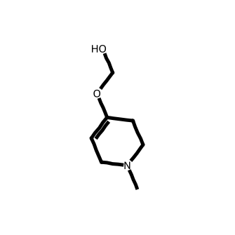 CN1CC=C(OCO)CC1